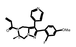 C=CC(=O)N1Cc2c(-c3ccncc3)c(-c3ccc(OC)cc3F)nn2C[C@H]1C